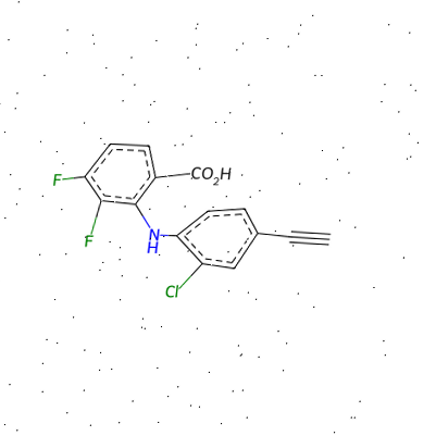 C#Cc1ccc(Nc2c(C(=O)O)ccc(F)c2F)c(Cl)c1